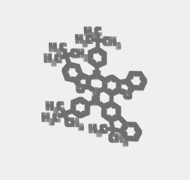 CC(C)(C)c1ccc(N2B3c4oc5ccc(C(C)(C)C)cc5c4N(c4ccc(C(C)(C)C)cc4)c4cc5c(oc6ccccc65)c(c43)-c3cc4c(cc32)C(C)(C)c2ccccc2-4)cc1